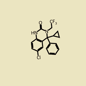 O=C1Nc2ccc(Cl)cc2C(c2ccccc2)(C2CC2)N1CC(F)(F)F